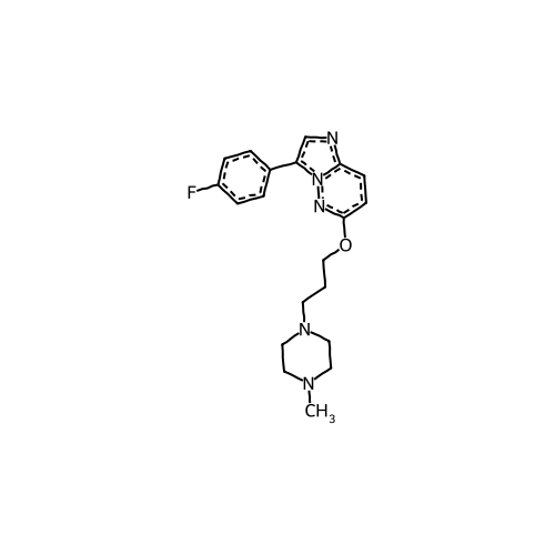 CN1CCN(CCCOc2ccc3ncc(-c4ccc(F)cc4)n3n2)CC1